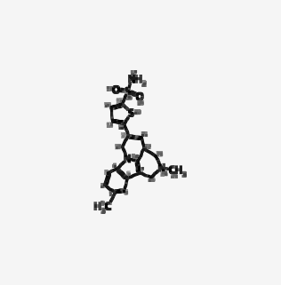 Cc1ccc2c(c1)c1c3n2CC(c2ccc(S(N)(=O)=O)s2)=CC3CN(C)C1